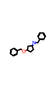 c1ccc(CN=C2CCC(OCc3ccccc3)C2)cc1